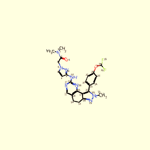 CN(C)C(=O)Cn1ccc(Nc2ncc3c(n2)-c2c(nn(C)c2-c2ccc(OC(F)F)cc2)CC3)n1